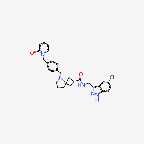 O=C(NCc1n[nH]c2ccc(Cl)cc12)C1CC2(CCCN2Cc2ccc(Cn3ccccc3=O)cc2)C1